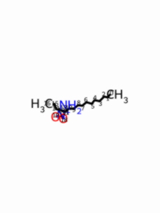 CCCCCCCCCCCCC(N)(CCC)[N+](=O)[O-]